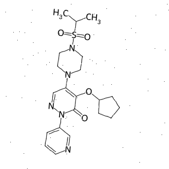 CC(C)S(=O)(=O)N1CCN(c2cnn(-c3cccnc3)c(=O)c2OC2CCCC2)CC1